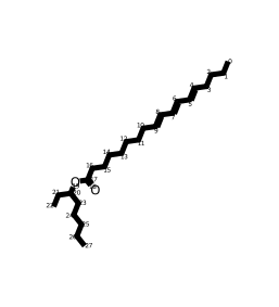 CCCCC=CC=CC=CCCCCCCCC(=O)OC(CC)CCCCC